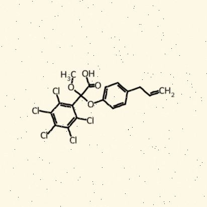 C=CCc1ccc(OC(OC)(C(=O)O)c2c(Cl)c(Cl)c(Cl)c(Cl)c2Cl)cc1